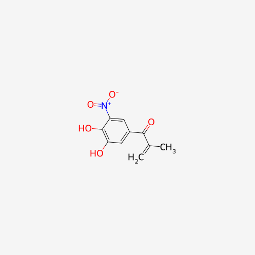 C=C(C)C(=O)c1cc(O)c(O)c([N+](=O)[O-])c1